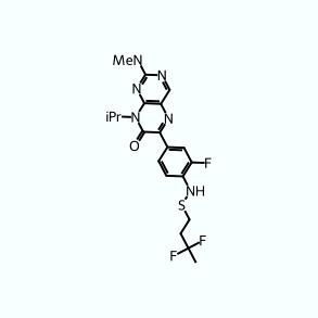 CNc1ncc2nc(-c3ccc(NSCCC(C)(F)F)c(F)c3)c(=O)n(C(C)C)c2n1